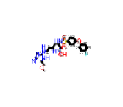 COCCN/C(=N\C#N)NCCCC[C@@H](NS(=O)(=O)c1ccc(Oc2ccc(F)cc2)cc1)C(=O)NO